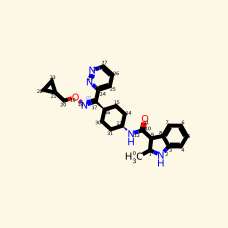 CC1Nc2ccccc2C1C(=O)N[C@H]1CC[C@H](/C(=N/OCC2CC2)c2cccnn2)CC1